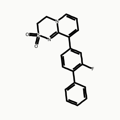 O=S1(=O)CCN2C=CC=C(c3ccc(-c4ccccc4)c(F)c3)C2=N1